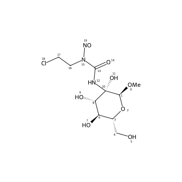 CO[C@H]1O[C@H](CO)[C@@H](O)[C@H](O)[C@@]1(O)NC(=O)N(CCCl)N=O